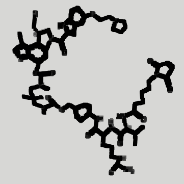 Cc1csc2c(OC(=O)N(C)CC(C)(C)CN(C)C(=O)OCc3ccc(NC(=O)C(CCCNC(N)=O)NC(=O)[C@@H](NC(=O)CCCCCN4C(=O)C=CC4=O)C(C)C)cc3)cc3c(c12)[C@H](CCl)CN3C(=O)c1cc2cc(OCCN3CCCC3)ccc2[nH]1